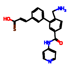 NCc1ccc(C(=O)Nc2ccncc2)cc1-c1cccc(C=CC(O)=S)c1